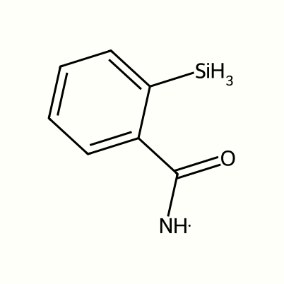 [NH]C(=O)c1ccccc1[SiH3]